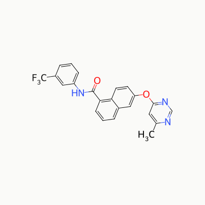 Cc1cc(Oc2ccc3c(C(=O)Nc4cccc(C(F)(F)F)c4)cccc3c2)ncn1